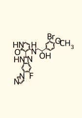 COc1ccc(C(O)CNc2cc[nH]c(=O)c2-c2nc3cc(F)c(-n4ccnc4)cc3[nH]2)cc1Br